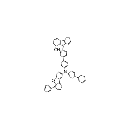 CC1CC=Cc2c3c(n(-c4ccc(-c5ccc(N(C6=CCC(C7=CC=CCC7)C=C6)c6ccc7oc8c(-c9ccccc9)cccc8c7c6)cc5)cc4)c21)C=CCC3